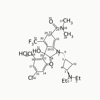 CCN(CC)[C@H]1C[C@H](CN2C(=O)C(O)(c3ccc(Cl)cc3Cl)c3c2cc(C(=O)N(C)C)cc3C(F)(F)F)C1.Cl